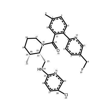 Cc1ccc(-c2ccc(CF)cn2)c(C(=O)N2CCC[C@@H](C)[C@H]2CNc2ccc(Cl)cn2)c1